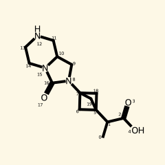 CC(C(=O)O)C12CC(N3CC4CNCCN4C3=O)(C1)C2